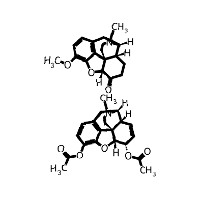 CC(=O)Oc1ccc2c3c1O[C@H]1[C@@H](OC(C)=O)C=C[C@H]4[C@@H](C2)N(C)CC[C@@]341.COc1ccc2c3c1O[C@H]1C(=O)CC[C@H]4[C@@H](C2)N(C)CC[C@]314